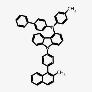 Cc1ccc(N(c2ccc(-c3ccccc3)cc2)c2cccc3c2c2ccccc2n3-c2ccc(-c3c(C)ccc4ccccc34)cc2)cc1